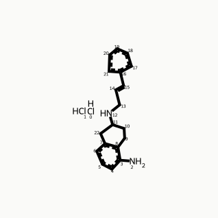 Cl.Cl.Nc1cccc2c1CCC(NCC=Cc1ccccc1)C2